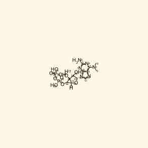 CN(C)c1nc(N)nc2c1ncn2[C@@H]1O[C@@H]2C(OP(=O)(O)OP(=O)(O)O)[C@]2(O)[C@@]1(C)O